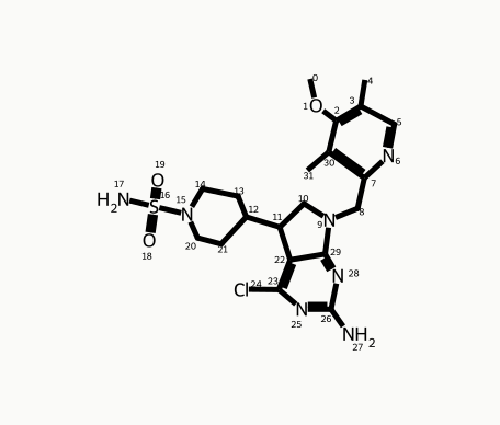 COc1c(C)cnc(CN2CC(C3CCN(S(N)(=O)=O)CC3)c3c(Cl)nc(N)nc32)c1C